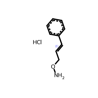 Cl.NOC/C=C/c1ccccc1